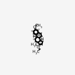 CCOC1=CC[C@H]2[C@@H]3CCc4cc(OC)ccc4[C@H]3CC[C@]12C